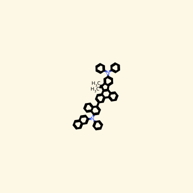 CC1(C)c2cc(N(c3ccccc3)c3ccccc3)ccc2-c2c1c1ccc(-c3ccc(N(c4ccccc4)c4ccc5ccccc5c4)c4ccccc34)cc1c1ccccc21